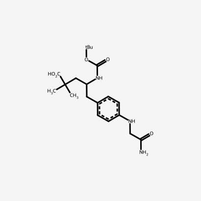 CC(C)(C)OC(=O)NC(Cc1ccc(NCC(N)=O)cc1)CC(C)(C)C(=O)O